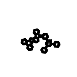 c1ccc(-c2cc(-c3ccccc3)nc(-c3cccc(-n4c5ccccc5c5c6cc7c8ccccc8c8ccccc8n7c6ccc54)c3)c2)cc1